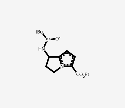 CCOC(=O)c1ccc2n1CCC2N[S+]([O-])C(C)(C)C